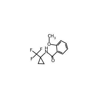 COc1ccccc1C(=O)NC1(C(F)(F)F)CC1